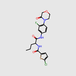 CCCC(NC(=O)c1ccc(Cl)s1)C(=O)Nc1ccc(N2CCOCC2=O)c(F)c1